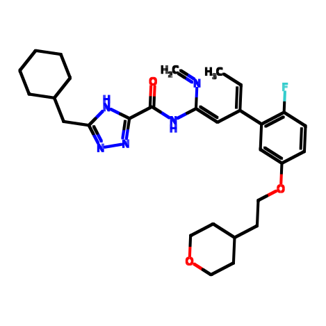 C=N/C(=C\C(=C/C)c1cc(OCCC2CCOCC2)ccc1F)NC(=O)c1nnc(CC2CCCCC2)[nH]1